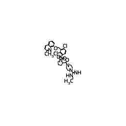 CCNC(=N)N1CCN(C(=O)C2CCCN2S(=O)(=O)c2ccc(Cl)c(COc3cccc4ccc(C)nc34)c2Cl)CC1